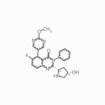 COc1ncc(-c2c(F)ccc3nc([C@@H]4C[C@H](O)CN4)n(-c4ccccc4)c(=O)c23)cn1